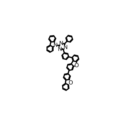 c1ccc(-c2nc(-c3cccc(-c4cccc5oc6cc(-c7ccc8c(c7)oc7ccccc78)ccc6c45)c3)nc(-n3c4ccccc4c4ccccc43)n2)cc1